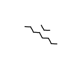 CCC.CCCCCCCC